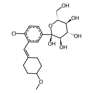 COC1CCC(=Cc2cc([C@]3(O)O[C@H](CO)[C@@H](O)[C@H](O)[C@H]3O)ccc2Cl)CC1